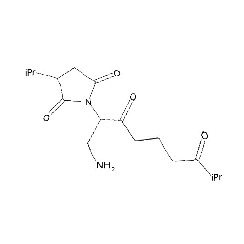 CC(C)C(=O)CCCC(=O)C(CN)N1C(=O)CC(C(C)C)C1=O